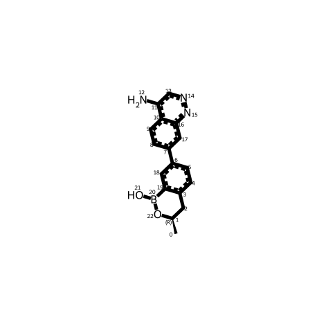 C[C@@H]1Cc2ccc(-c3ccc4c(N)cnnc4c3)cc2B(O)O1